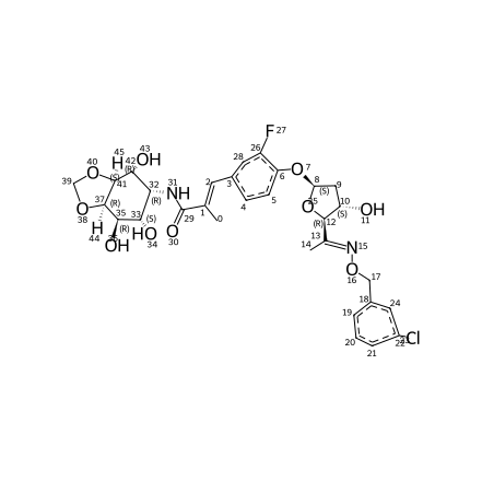 CC(=Cc1ccc(O[C@H]2C[C@H](O)[C@@H](C(C)=NOCc3cccc(Cl)c3)O2)c(F)c1)C(=O)N[C@@H]1[C@H](O)[C@@H](O)[C@H]2OCO[C@H]2[C@@H]1O